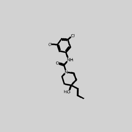 CCCC1(O)CCN(C(=O)Nc2cc(Cl)cc(Cl)c2)CC1